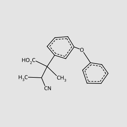 CC(C#N)C(C)(C(=O)O)c1cccc(Oc2ccccc2)c1